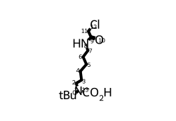 CC(C)(C)N(CCCCCCNC(=O)CCl)C(=O)O